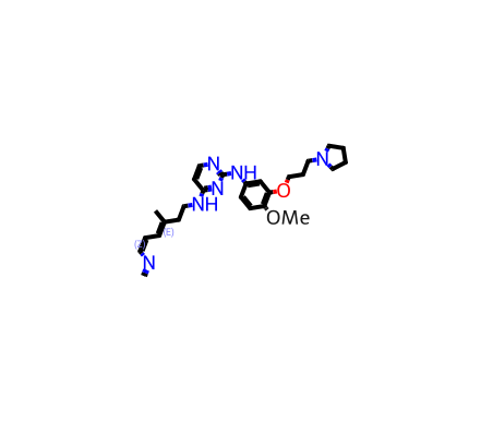 C=N/C=C\C=C(/C)CCNc1ccnc(Nc2ccc(OC)c(OCCCN3CCCC3)c2)n1